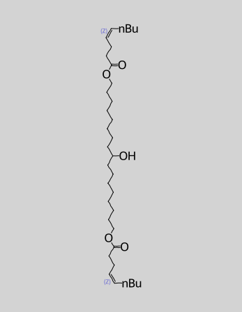 CCCC/C=C\CCC(=O)OCCCCCCCCC(O)CCCCCCCCOC(=O)CC/C=C\CCCC